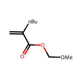 C=C(CCCC)C(=O)OCOC